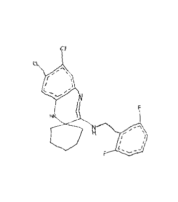 Fc1cccc(F)c1CNC1=Nc2cc(Cl)c(Cl)cc2NC12CCCCC2